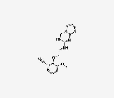 COc1cccc(C#N)c1OCCNC1=Nc2ccccc2CN1